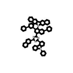 c1ccc(-c2cccc(-c3cc(-c4nc(-c5ccc6ccccc6c5)nc(-c5cccc6c5c5ccccc5n6-c5ccccc5)n4)c4ccc(-c5ccccc5)cc4c3-n3c4cc5ccccc5cc4c4cc5ccccc5cc43)c2)cc1